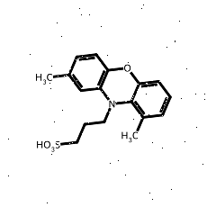 Cc1ccc2c(c1)N(CCCS(=O)(=O)O)c1c(C)cccc1O2